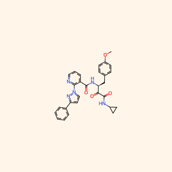 COc1ccc(C[C@H](NC(=O)c2cccnc2-n2ccc(-c3ccccc3)n2)C(=O)C(=O)NC2CC2)cc1